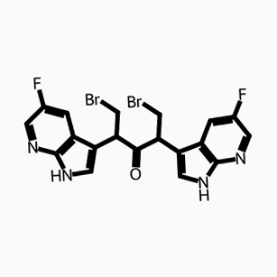 O=C(C(CBr)c1c[nH]c2ncc(F)cc12)C(CBr)c1c[nH]c2ncc(F)cc12